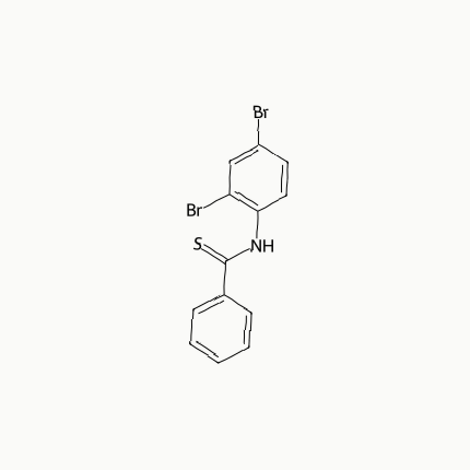 S=C(Nc1ccc(Br)cc1Br)c1ccccc1